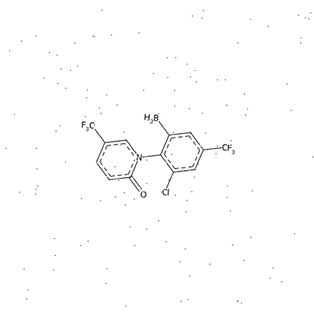 Bc1cc(C(F)(F)F)cc(Cl)c1-n1cc(C(F)(F)F)ccc1=O